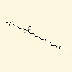 CCCCCCCCCCCCC(=O)OCCCCC